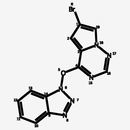 Brc1cc2c(On3nnc4ccccc43)ncnn2c1